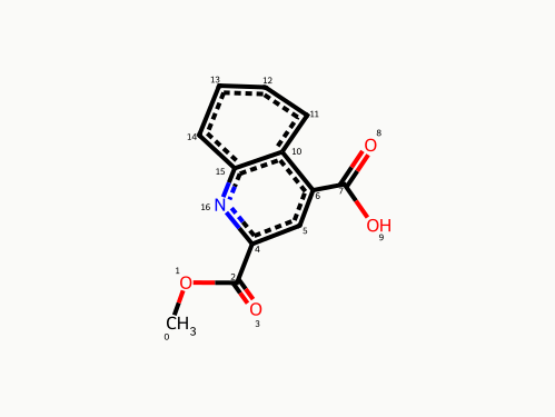 COC(=O)c1cc(C(=O)O)c2ccccc2n1